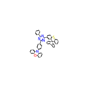 c1ccc(-c2nc(-c3ccc(N4c5ccccc5Oc5ccccc54)cc3)nc(-c3ccc4c(c3)C3(c5ccccc5S4)c4ccccc4-c4ccccc43)n2)cc1